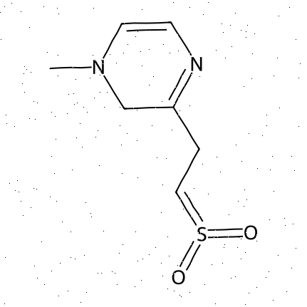 CN1C=CN=C(CC=S(=O)=O)C1